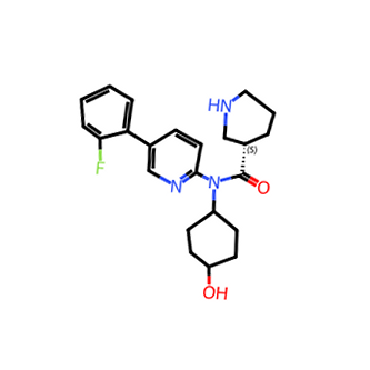 O=C([C@H]1CCCNC1)N(c1ccc(-c2ccccc2F)cn1)C1CCC(O)CC1